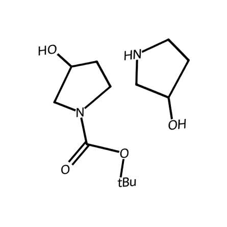 CC(C)(C)OC(=O)N1CCC(O)C1.OC1CCNC1